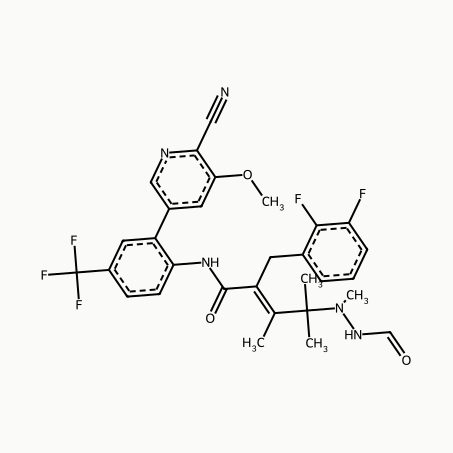 COc1cc(-c2cc(C(F)(F)F)ccc2NC(=O)/C(Cc2cccc(F)c2F)=C(\C)C(C)(C)N(C)NC=O)cnc1C#N